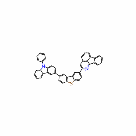 c1ccc(-n2c3ccccc3c3cc(-c4ccc5sc6ccc(-c7cc8cccc9c8c(n7)-c7ccccc7-9)cc6c5c4)ccc32)cc1